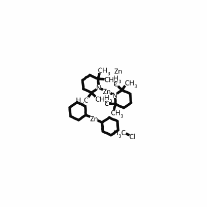 C1CC[CH]([Zn][CH]2CCCCC2)CC1.CC1(C)CCCC(C)(C)[N]1[Zn][N]1C(C)(C)CCCC1(C)C.CCl.[Zn]